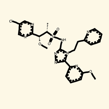 COc1cccc(-c2nnc(NS(=O)(=O)[C@@H](C)[C@H](OC)c3ncc(Cl)cn3)n2CCc2ccccn2)n1